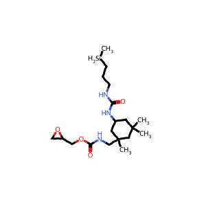 C[SiH2]CCCNC(=O)NC1CC(C)(C)CC(C)(CNC(=O)OCC2CO2)C1